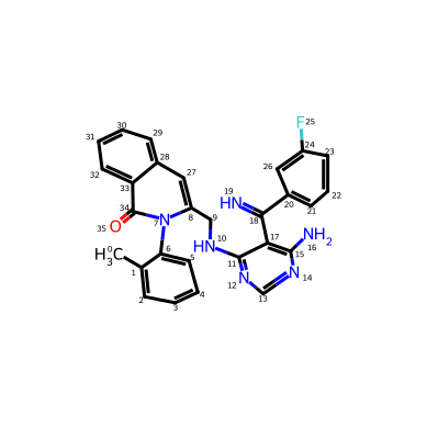 Cc1ccccc1-n1c(CNc2ncnc(N)c2C(=N)c2cccc(F)c2)cc2ccccc2c1=O